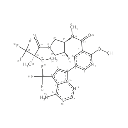 COc1ncc(-c2cc(C(F)(F)F)c3c(N)ncnn23)cc1C(=O)N(C)[C@@H]1CN(C(=O)[C@@](C)(OC)C(F)(F)F)C[C@@H]1F